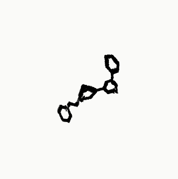 C1=C2C1=C(c1cncc(-c3ccccc3)c1)CN2CCN1CCCCC1